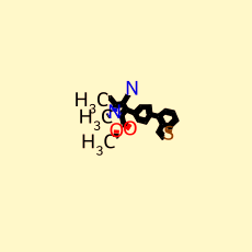 CCOC(=O)c1c(-c2ccc(-c3cccc4sccc34)cc2)c(C#N)c(CC)n1C